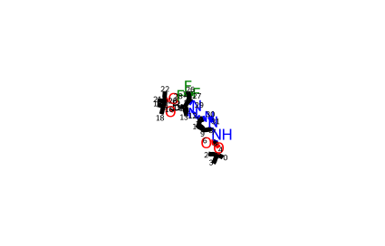 CC(C)(C)OC(=O)Nc1ccc(-n2cc(B3OC(C)(C)C(C)(C)O3)c(C(F)(F)F)n2)nn1